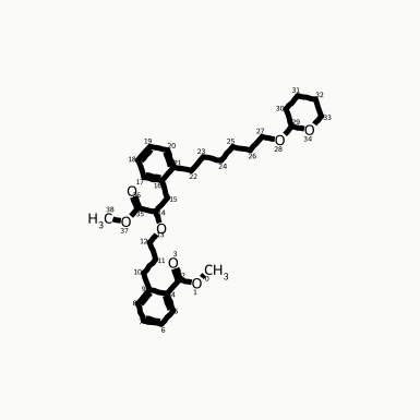 COC(=O)c1ccccc1CCCOC(Cc1ccccc1CCCCCCOC1CCCCO1)C(=O)OC